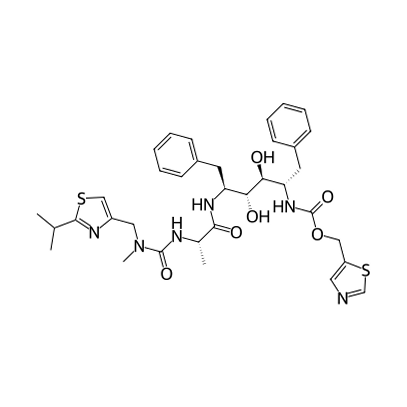 CC(C)c1nc(CN(C)C(=O)N[C@@H](C)C(=O)N[C@@H](Cc2ccccc2)[C@@H](O)[C@@H](O)[C@H](Cc2ccccc2)NC(=O)OCc2cncs2)cs1